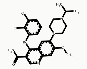 COc1cc2ncc(C(N)=O)c(Nc3cccc(Cl)c3Cl)c2cc1N1CCN(C(C)C)CC1